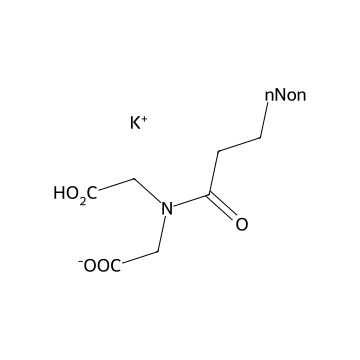 CCCCCCCCCCCC(=O)N(CC(=O)[O-])CC(=O)O.[K+]